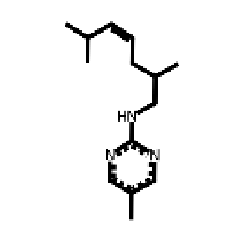 Cc1cnc(NCC(C)C/C=C\C(C)C)nc1